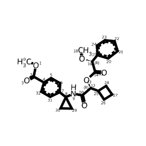 COC(=O)c1ccc(C2(NC(=O)[C@H](OC(=O)[C@H](OC)c3ccccc3)C3CCC3)CC2)cc1